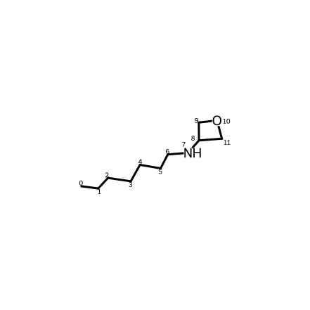 CCCCCCCNC1COC1